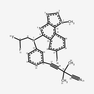 Cn1nnc2nc(N(CC(F)F)c3ccnc(C#CC(C)(C)C#N)c3)c3cc(F)ccc3c21